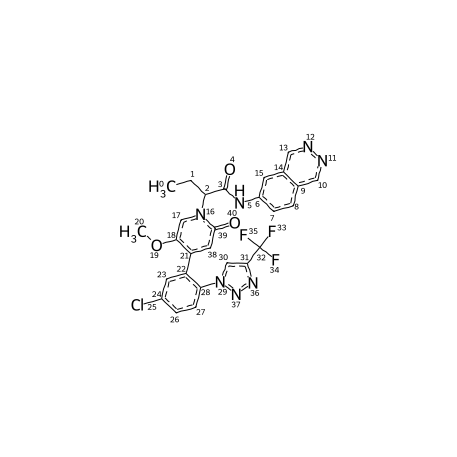 CCC(C(=O)Nc1ccc2cnncc2c1)n1cc(OC)c(-c2cc(Cl)ccc2-n2cc(C(F)(F)F)nn2)cc1=O